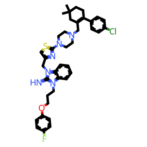 CC1(C)CCC(c2ccc(Cl)cc2)=C(CN2CCN(c3nc(Cn4c(=N)n(CCCOc5ccc(F)cc5)c5ccccc54)cs3)CC2)C1